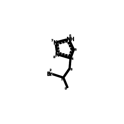 CC(Br)Cc1c[nH]nn1